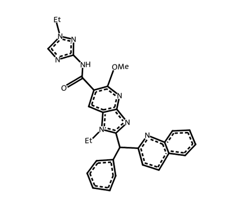 CCn1cnc(NC(=O)c2cc3c(nc2OC)nc(C(c2ccccc2)c2ccc4ccccc4n2)n3CC)n1